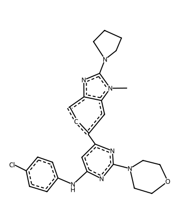 Cn1c(N2CCCC2)nc2ccc(-c3cc(Nc4ccc(Cl)cc4)nc(N4CCOCC4)n3)cc21